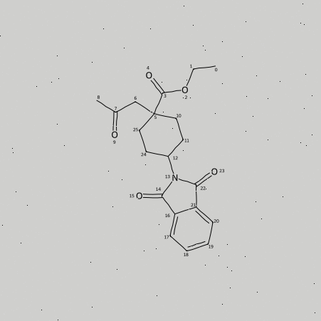 CCOC(=O)C1(CC(C)=O)CCC(N2C(=O)c3ccccc3C2=O)CC1